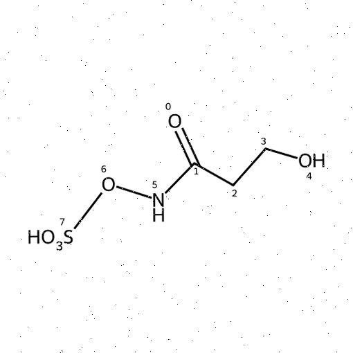 O=C(CCO)NOS(=O)(=O)O